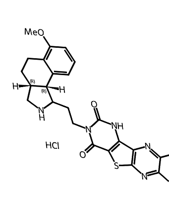 CCc1nc2sc3c(=O)n(CCC4NC[C@@H]5CCc6c(OC)cccc6[C@H]45)c(=O)[nH]c3c2nc1CC.Cl